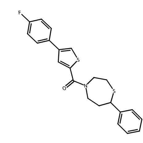 O=C(c1cc(-c2ccc(F)cc2)cs1)N1CCSC(c2ccccc2)CC1